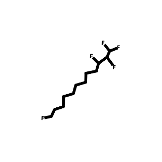 FCCCCCCCCCC(F)C(F)C(F)F